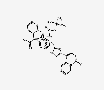 CC(C)(C)OC(=O)NC1(C(=O)Nc2nc(-c3ccc(F)c4ccccc34)c[nH]2)CC2([N+](=O)[O-])c3ccccc3C1c1ccccc12